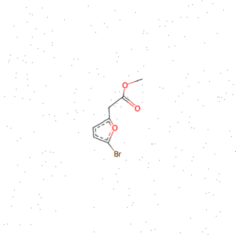 COC(=O)Cc1ccc(Br)o1